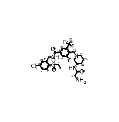 CCS(=O)(=O)c1ccc(Cl)cc1CNC(=O)c1cc(Cl)c(CN2CCC[C@H](NC(=O)CN)C2)c(C(F)(F)F)c1